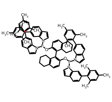 Cc1cc(C)c(-c2ccc3ccn(P(Oc4ccc5c(c4-c4c(OP(n6ccc7ccc(-c8c(C)cc(C)cc8C)cc76)n6ccc7ccc(-c8c(C)cc(C)cc8C)cc76)ccc6c4CCCC6)CCCC5)n4ccc5ccc(-c6c(C)cc(C)cc6C)cc54)c3c2)c(C)c1